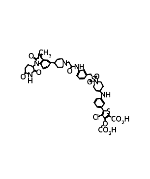 Cn1c(=O)n(C2CCC(=O)NC2=O)c2ccc(C3CCN(CC(=O)Nc4cccc(CS(=O)(=O)N5CCC(Nc6cccc(-c7sc(C(=O)O)c(OCC(=O)O)c7Cl)c6)CC5)c4)CC3)cc21